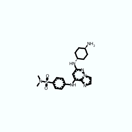 CN(C)S(=O)(=O)c1ccc(Nc2cc(N[C@H]3CC[C@H](N)CC3)nn3ccnc23)cc1